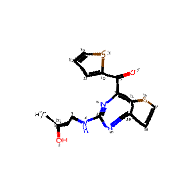 C[C@H](O)CNc1nc(C(=O)c2cccs2)c2sccc2n1